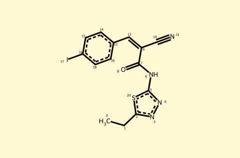 CCc1nnc(NC(=O)C(C#N)=Cc2ccc(I)cc2)s1